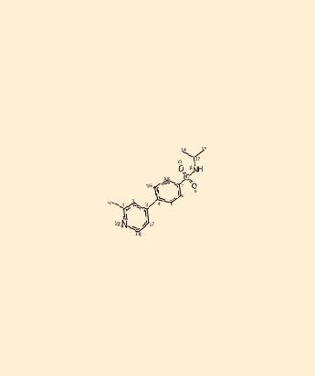 Cc1cc(-c2ccc(S(=O)(=O)NC(C)C)cc2)ccn1